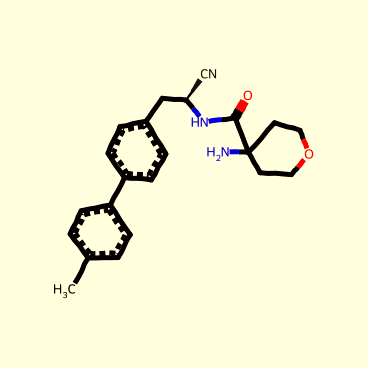 Cc1ccc(-c2ccc(C[C@@H](C#N)NC(=O)C3(N)CCOCC3)cc2)cc1